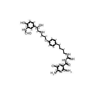 N=C(NCCCCc1ccc(OCCNC[C@H](O)c2ccc(O)c(NC=O)c2)cc1)NC(=O)c1nc(Cl)c(N)nc1N